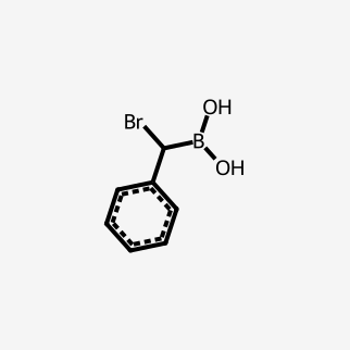 OB(O)C(Br)c1ccccc1